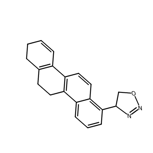 C1=CC2=C(CC1)CCc1c2ccc2c(C3CON=N3)cccc12